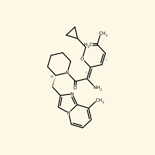 C=C(C)/C=C\C(OCC1CC1)=C(/N)C(=O)N1CCCC[C@H]1Cc1cn2cccc(C)c2n1